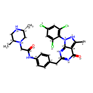 CC(C)c1[nH]n(-c2c(Cl)cc(Cl)cc2Cl)c2nc(Cc3ccc(NC(=O)CN4C[C@@H](C)NC[C@@H]4C)cc3)nc(=O)c1-2